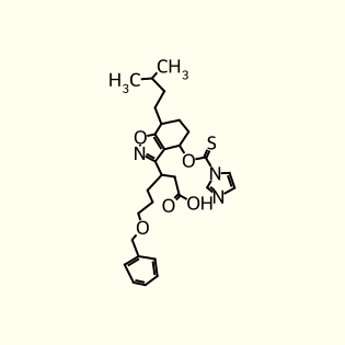 CC(C)CCC1CCC(OC(=S)n2ccnc2)c2c(C(CCCOCc3ccccc3)CC(=O)O)noc21